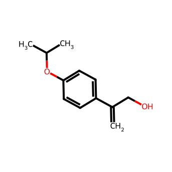 C=C(CO)c1ccc(OC(C)C)cc1